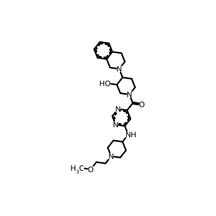 COCCN1CCC(Nc2cc(C(=O)N3CCC(N4CCc5ccccc5C4)C(O)C3)ncn2)CC1